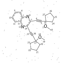 COC1(C#Cc2nc3ccccc3nc2C#CC2(OC)CCCC2)CCCC1